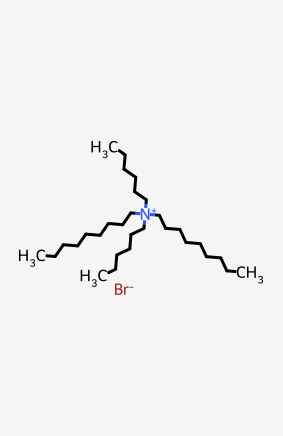 CCCCCCCCC[N+](CCCCCC)(CCCCCC)CCCCCCCCC.[Br-]